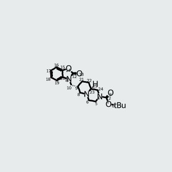 CC(C)(C)OC(=O)N1CCN2C[C@H](Cn3c(=O)oc4ccccc43)CC[C@H]2C1